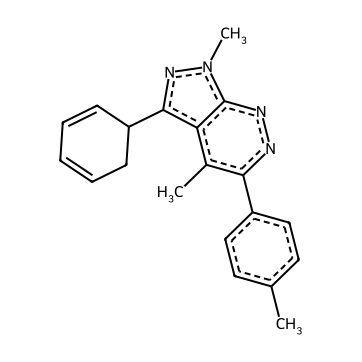 Cc1ccc(-c2nnc3c(c(C4C=CC=CC4)nn3C)c2C)cc1